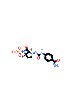 NC(=O)c1ccc(NC(=O)NN2CC[C@@H]3[C@H]2C(=O)N3S(=O)(=O)O)cc1